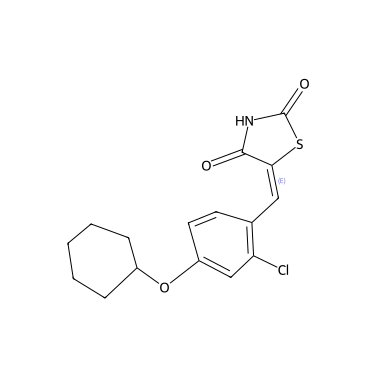 O=C1NC(=O)/C(=C\c2ccc(OC3CCCCC3)cc2Cl)S1